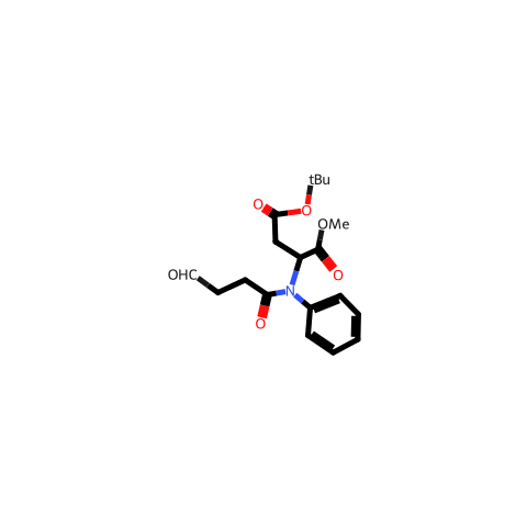 COC(=O)C(CC(=O)OC(C)(C)C)N(C(=O)CCC=O)c1ccccc1